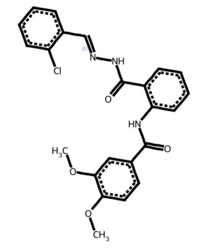 COc1ccc(C(=O)Nc2ccccc2C(=O)N/N=C/c2ccccc2Cl)cc1OC